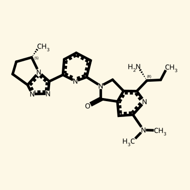 CC[C@@H](N)c1nc(N(C)C)cc2c1CN(c1cccc(-c3nnc4n3[C@@H](C)CC4)n1)C2=O